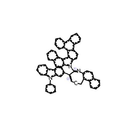 C1=C(c2ccc3c4ccccc4n(-c4ccccc4)c3c2)\C(n2c3ccc4ccccc4c3c3c4c5ccccc5c5ccccc5c4ccc32)=N/c2ccc3ccccc3c2CC/1